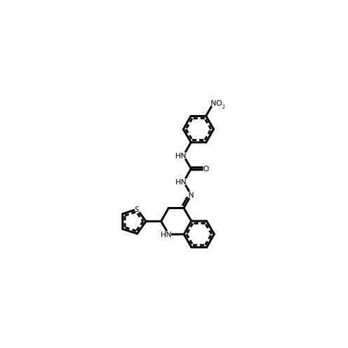 O=C(NN=C1CC(c2cccs2)Nc2ccccc21)Nc1ccc([N+](=O)[O-])cc1